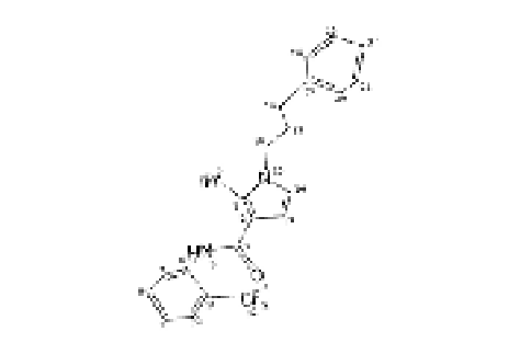 CC(C)c1c(C(=O)Nc2ccccc2C(F)(F)F)ccn1CCCc1ccccc1